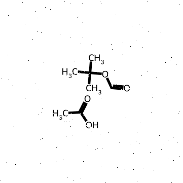 CC(=O)O.CC(C)(C)OC=O